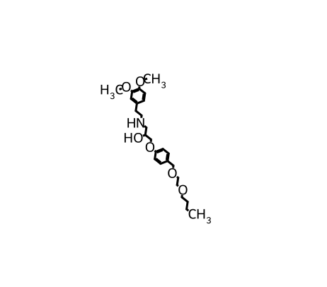 CCCCOCCOCc1ccc(OCC(O)CNCCc2ccc(OC)c(OC)c2)cc1